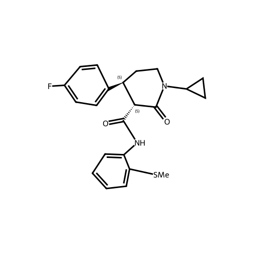 CSc1ccccc1NC(=O)[C@H]1C(=O)N(C2CC2)CC[C@@H]1c1ccc(F)cc1